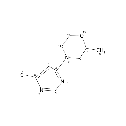 CC1CN(c2cc(Cl)ncn2)CCO1